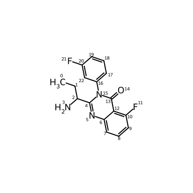 CCC(N)c1nc2cccc(F)c2c(=O)n1-c1cccc(F)c1